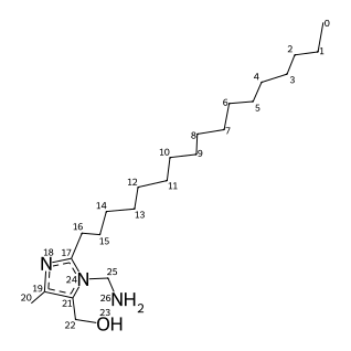 CCCCCCCCCCCCCCCCCc1nc(C)c(CO)n1CN